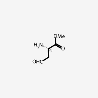 COC(=O)[C@@H](N)CC=O